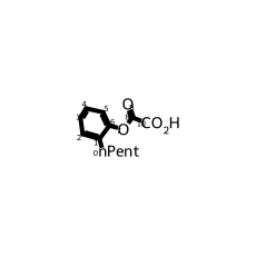 CCCCCc1ccccc1OC(=O)C(=O)O